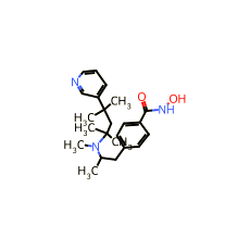 CC(Cc1ccc(C(=O)NO)cc1)N(C)C(C)(C)CC(C)(C)c1cccnc1